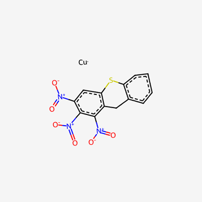 O=[N+]([O-])c1cc2c(c([N+](=O)[O-])c1[N+](=O)[O-])Cc1ccccc1S2.[Cu]